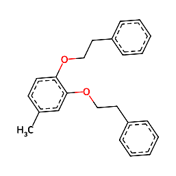 Cc1ccc(OCCc2ccccc2)c(OCCc2ccccc2)c1